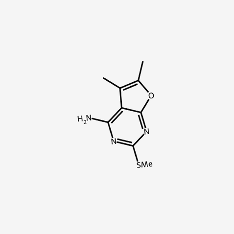 CSc1nc(N)c2c(C)c(C)oc2n1